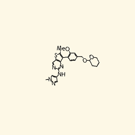 COc1cc(COC2CCCCO2)ccc1-c1c(C)sc2cnc(Nc3cnn(C)c3)nc12